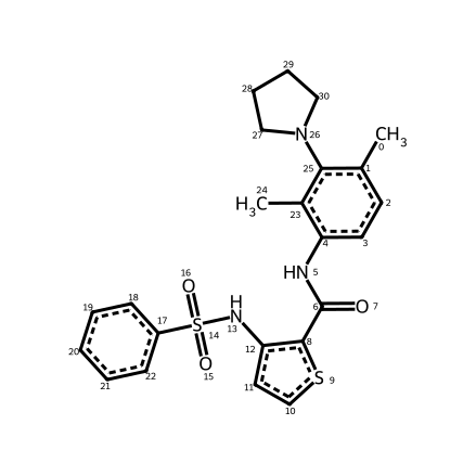 Cc1ccc(NC(=O)c2sccc2NS(=O)(=O)c2ccccc2)c(C)c1N1CCCC1